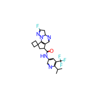 CC(C)c1ncc(NC(=O)C2CC3(CCC3)C3=C2C=NC2CC(F)=NN32)cc1C(F)(F)F